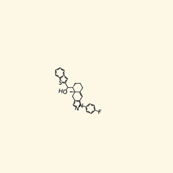 C[C@]12Cc3cnn(-c4ccc(F)cc4)c3C=C1CCC[C@@H]2[C@@H](O)c1cc2ccccc2s1